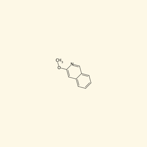 COc1cc2ccccc2cn1